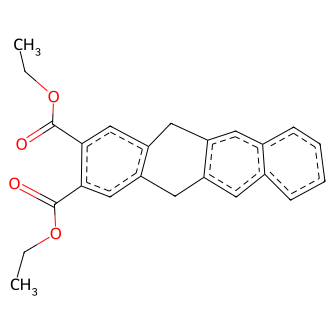 CCOC(=O)c1cc2c(cc1C(=O)OCC)Cc1cc3ccccc3cc1C2